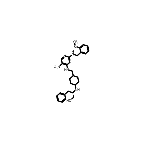 O=[N+]([O-])c1cnc(NCc2ccccc2OC(F)(F)F)nc1NCC1CCC(N[C@@H](CO)Cc2ccccc2)CC1